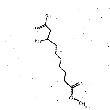 COC(=O)CCCCCCC(O)CC(=O)O